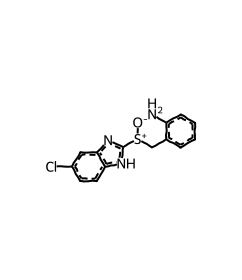 Nc1ccccc1C[S+]([O-])c1nc2cc(Cl)ccc2[nH]1